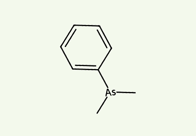 C[As](C)c1ccccc1